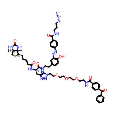 [N-]=[N+]=NCCCNC(=O)c1ccc(/N=N/c2cc(CCNC(=O)[C@@H](Cc3cn(CCOCCOCCOCCNC(=O)c4ccc(C(=O)c5ccccc5)cc4)nn3)NC(=O)CCCC[C@H]3SC[C@H]4NC(=O)N[C@H]43)ccc2O)cc1